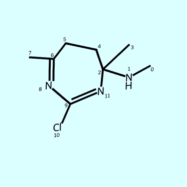 CNC1(C)CCC(C)=NC(Cl)=N1